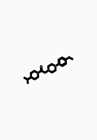 CSc1ccc(N2CCN(CC(=O)N3CCC(C(C)C)CC3)CC2)cc1